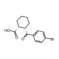 O=C(c1ccc(Br)cc1)[C@H]1CCCC[C@H]1C(=O)O